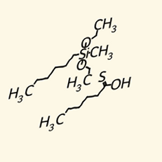 CCCCCC(O)=S.CCCCCC[Si](C)(OCC)OCC